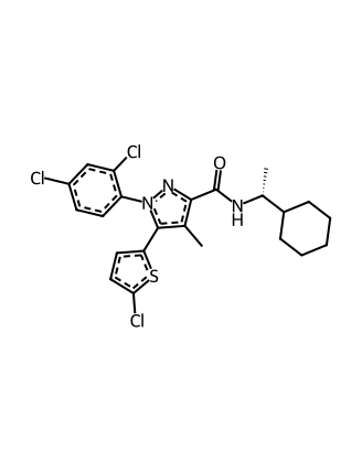 Cc1c(C(=O)N[C@H](C)C2CCCCC2)nn(-c2ccc(Cl)cc2Cl)c1-c1ccc(Cl)s1